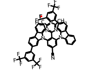 Cc1nc(C)nc(-c2c(-n3c4ccccc4c4ccc(-c5cc(C(F)(F)F)cc(C(F)(F)F)c5)cc43)cc(C#N)cc2-n2c3ccccc3c3ccc(-c4cc(C(F)(F)F)cc(C(F)(F)F)c4)cc32)n1